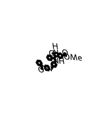 COC(=O)c1ccc2c(c1)NC(=O)C2=C(Nc1ccc(CN2CCN(C(=O)c3ccccc3)CC2)cc1)c1ccccc1